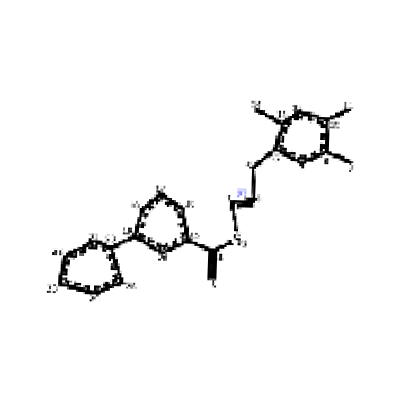 C=C(S/C=C/Cc1cc(C)c(C)cc1C)c1cccc(-c2ccccc2)c1